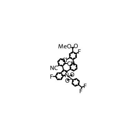 COC(=O)c1cc(Cl)c(-c2cccc(-c3c(-c4c(C#N)cccc4C#N)c4cc(F)ccc4n3S(=O)(=O)c3ccc(C(F)F)cc3)c2)cc1F